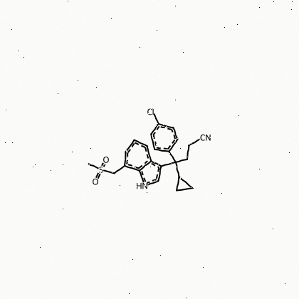 CS(=O)(=O)Cc1cccc2c(C(CCC#N)(c3ccc(Cl)cc3)C3CC3)c[nH]c12